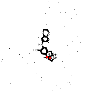 Oc1cc2c(cc1Nc1ccc3c(c1)OCCO3)C[C@H]1NCC[C@@]23CCCC[C@@H]13